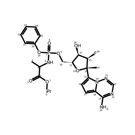 CC(C)OC(=O)C(C)NP(=O)(OC[C@H]1O[C@@](C)(c2ccc3c(N)ncnn23)[C@H](F)[C@@H]1O)Oc1ccccc1